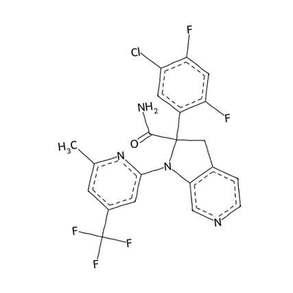 Cc1cc(C(F)(F)F)cc(N2c3cnccc3CC2(C(N)=O)c2cc(Cl)c(F)cc2F)n1